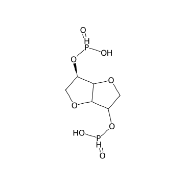 O=[PH](O)OC1COC2C1OC[C@H]2O[PH](=O)O